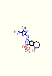 CCN1CCCCc2cc(N=Nc3nc(N)c(C#N)n3C)c(NS(=O)(=O)C(F)(F)F)cc21